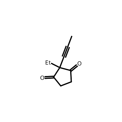 CC#CC1(CC)C(=O)CCC1=O